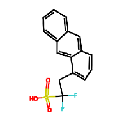 O=S(=O)(O)C(F)(F)Cc1cccc2cc3ccccc3cc12